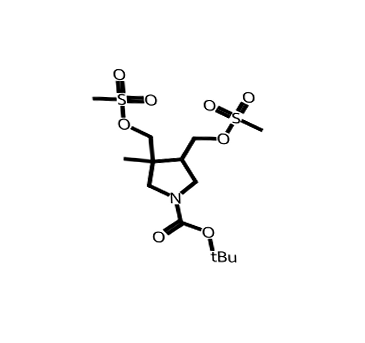 CC(C)(C)OC(=O)N1CC(COS(C)(=O)=O)C(C)(COS(C)(=O)=O)C1